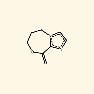 C=C1OCCCn2ccnc21